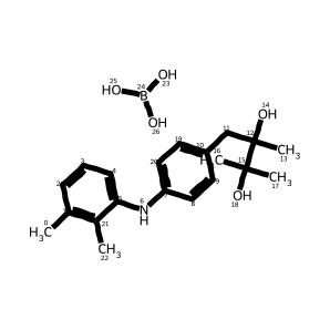 Cc1cccc(Nc2ccc(CC(C)(O)C(C)(C)O)cc2)c1C.OB(O)O